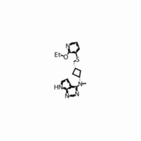 CCOc1ncccc1SC[C@H]1C[C@@H](N(C)c2ncnc3[nH]ccc23)C1